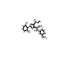 C=C/C(F)=c1/nc(-c2c(F)cccc2Cl)s/c1=C(/N)Nc1cc(N)ncn1